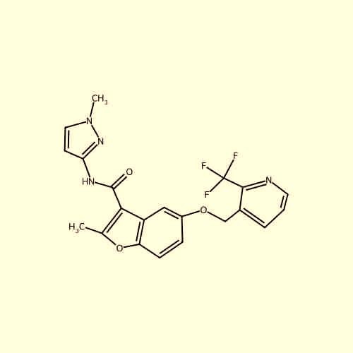 Cc1oc2ccc(OCc3cccnc3C(F)(F)F)cc2c1C(=O)Nc1ccn(C)n1